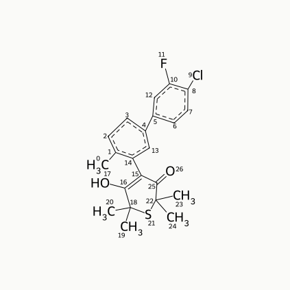 Cc1ccc(-c2ccc(Cl)c(F)c2)cc1C1=C(O)C(C)(C)SC(C)(C)C1=O